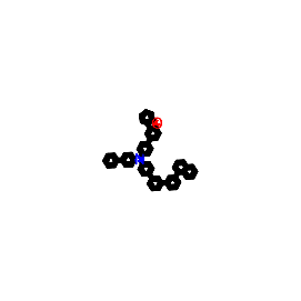 c1ccc(-c2ccc(N(c3ccc(-c4cccc(-c5cccc(-c6cccc7ccccc67)c5)c4)cc3)c3ccc(-c4ccc5oc6ccccc6c5c4)cc3)cc2)cc1